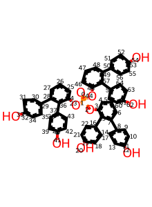 O=P(Oc1cccc(-c2ccc(O)cc2)c1-c1ccc(O)cc1)(Oc1cccc(-c2ccc(O)cc2)c1-c1ccc(O)cc1)Oc1cccc(-c2ccc(O)cc2)c1-c1ccc(O)cc1